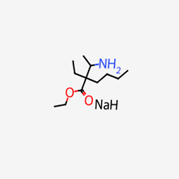 CCCCC(CC)(C(=O)OCC)C(C)N.[NaH]